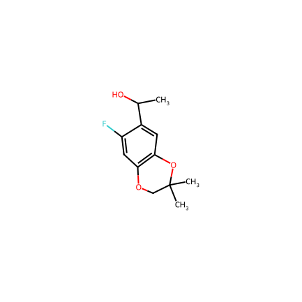 CC(O)c1cc2c(cc1F)OCC(C)(C)O2